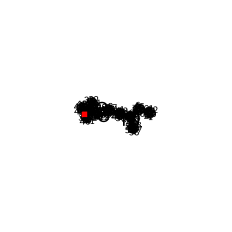 c1ccc(-c2cccc(-c3cc(-c4ccc(-c5ccc6c(c5)Oc5ccc7c(c5O6)-c5ccccc5C7(c5ccccc5)c5ccccc5)cc4)nc(-c4ccccc4)n3)c2)cc1